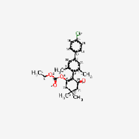 CCOC(=O)OC1=C(c2c(C)cc(-c3ccc(Cl)cc3)cc2C)C(=O)CC(C)(C)C1